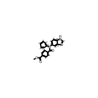 COC(=O)c1ccc(C(=O)N(c2ccccc2)c2ccc3[nH]cnc3c2)cc1